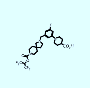 O=C(O)C1CCN(c2cc(F)cc(CN3CCC4(CCN(C(=O)OC(C(F)(F)F)C(F)(F)F)CC4)C3)c2)CC1